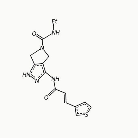 CCNC(=O)N1Cc2[nH]nc(NC(=O)C=Cc3ccsc3)c2C1